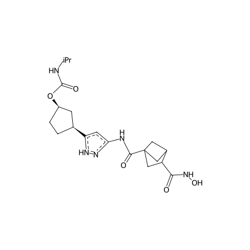 CC(C)NC(=O)O[C@@H]1CC[C@H](c2cc(NC(=O)C34CC(C3)C(C(=O)NO)C4)n[nH]2)C1